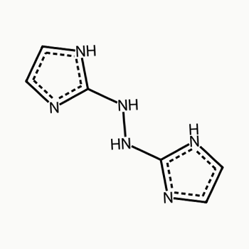 c1c[nH]c(NNc2ncc[nH]2)n1